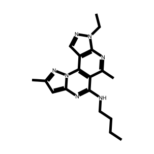 CCCCNc1nc2cc(C)nn2c2c1c(C)nc1c2cnn1CC